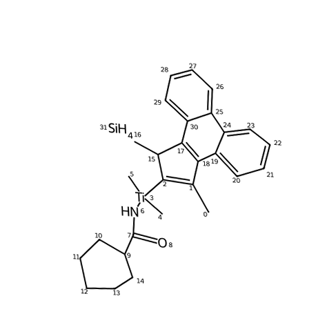 CC1=[C]([Ti]([CH3])([CH3])[NH]C(=O)C2CCCCC2)C(C)c2c1c1ccccc1c1ccccc21.[SiH4]